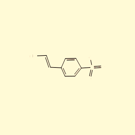 CCCC=Cc1ccc(S(=O)(=O)Cl)cc1